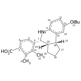 Cc1c(C(=O)O)ccc([C@@H]2Nc3ccc(OCC(C)C)cc3[C@@H]3CCC[C@@H]32)c1C